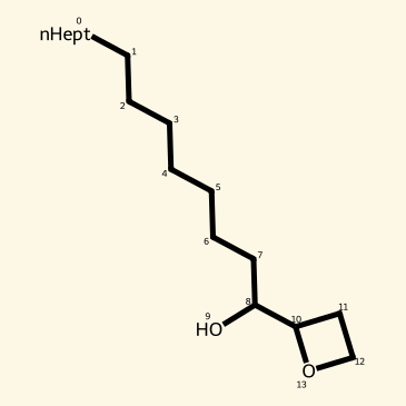 CCCCCCCCCCCCCCC(O)C1CCO1